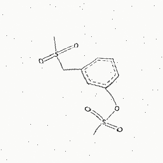 CS(=O)(=O)Cc1cccc(OS(C)(=O)=O)c1